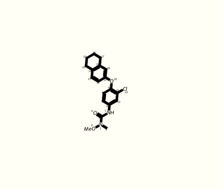 CON(C)C(=O)Nc1ccc(Oc2ccc3c(c2)CCCC3)c(Cl)c1